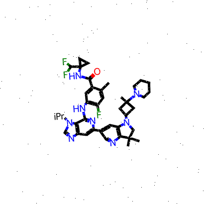 Cc1cc(F)c(Nc2nc(-c3cnc4c(c3)N(C3CC(C)(N5CCCCC5)C3)CC4(C)C)cc3ncn(C(C)C)c23)cc1C(=O)NC1(C(F)F)CC1